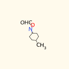 CC1CCC(=NOC=O)CC1